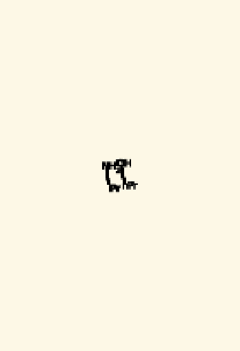 CC(C)N.CCCO